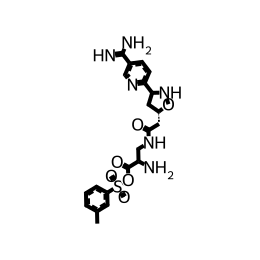 Cc1cccc(S(=O)(=O)OC(=O)C(N)CNC(=O)C[C@@H]2CC(c3ccc(C(=N)N)cn3)NO2)c1